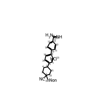 CCCCCCCCCC1(C#N)CCC(c2ccc(-c3ccc(C(=N)N)cc3)cc2)CC1.Cl